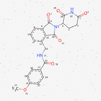 O=C1CCC(N2C(=O)c3cccc(CNC(=O)c4ccc(OC(F)(F)F)cc4)c3C2=O)C(=O)N1